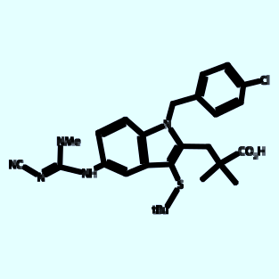 CN/C(=N\C#N)Nc1ccc2c(c1)c(SC(C)(C)C)c(CC(C)(C)C(=O)O)n2Cc1ccc(Cl)cc1